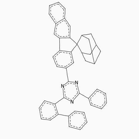 c1ccc(-c2nc(-c3ccc4c(c3)C3(c5cc6ccccc6cc5-4)C4CC5CC(C4)CC3C5)nc(-c3ccccc3-c3ccccc3)n2)cc1